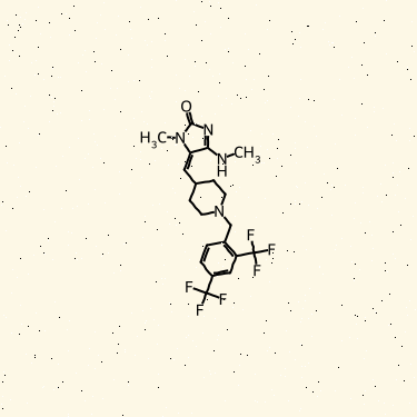 CNC1=NC(=O)N(C)/C1=C/C1CCN(Cc2ccc(C(F)(F)F)cc2C(F)(F)F)CC1